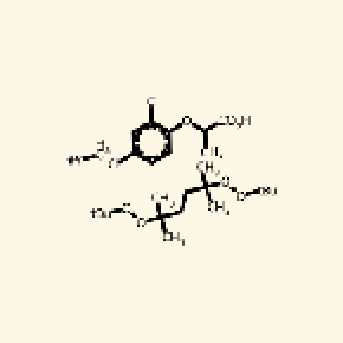 CC(C)(C)OOC(C)(C)CCC(C)(C)OOC(C)(C)C.CC(Oc1ccc(Cl)cc1Cl)C(=O)O.C[C](C)C